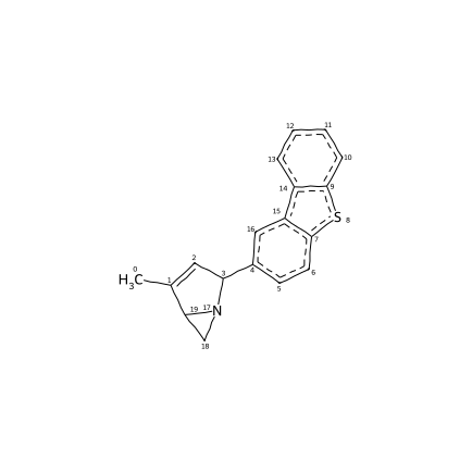 CC1=CC(c2ccc3sc4ccccc4c3c2)N2CC12